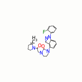 C[C@H]1CCCN1C(=O)CN1CCCN(c2cccc3c2cnn3-c2ccccc2F)C1=O